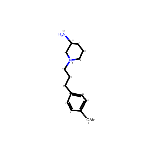 COc1ccc(CCCN2CCCC(N)C2)cc1